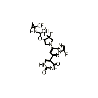 O=c1[nH]cc(-c2cc(N3C[C@H](OC(O)NC4(C(F)(F)F)CC4)C(F)(F)C3)c3ncc(F)n3n2)c(=O)[nH]1